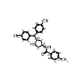 N#Cc1ccc(C(c2ccc(Cl)cc2)C2CC(NC(=O)c3ccc(C(F)(F)F)cc3)CN2)cc1